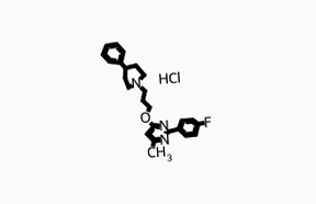 Cc1cc(OCCCN2CCC(c3ccccc3)CC2)nc(-c2ccc(F)cc2)n1.Cl